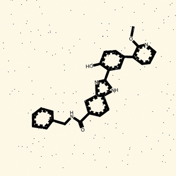 COc1ncccc1-c1ccc(O)c(-c2nc3cc(C(=O)NCc4ccccc4)ccc3[nH]2)c1